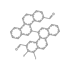 O=Cc1ccc2ccc3c4ccccc4cc(-c4cc5ccccc5c5ccc6c(I)c(I)c(C=O)cc6c45)c3c2c1